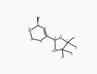 C[C@H]1C=C(B2OC(C)(C)C(C)(C)O2)CCO1